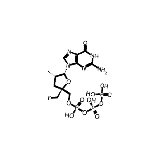 C[C@H]1C[C@@](CF)(COP(=O)(O)OP(=O)(O)OP(=O)(O)O)O[C@H]1n1cnc2c(=O)[nH]c(N)nc21